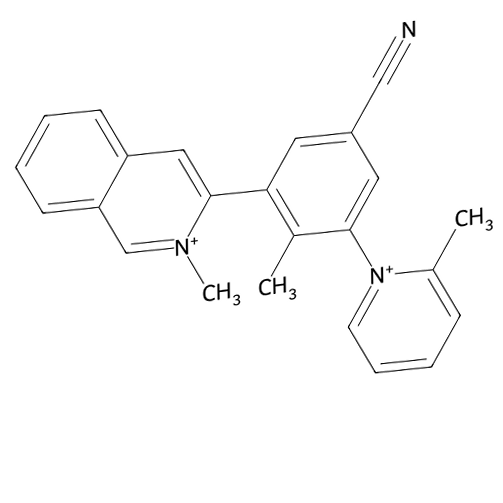 Cc1c(-c2cc3ccccc3c[n+]2C)cc(C#N)cc1-[n+]1ccccc1C